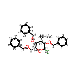 CC(=O)N[C@H]1[C@@H](OCc2ccccc2)[C@@H](Cl)O[C@H](COCc2ccccc2)[C@@H]1OCc1ccccc1